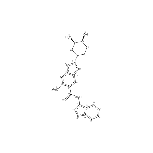 COc1cc2nn([C@H]3CC[C@H](O)[C@H](C)C3)cc2cc1C(=O)Nc1cnc2cccnn12